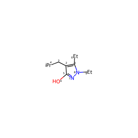 CCc1c(CC(C)C)c(O)nn1CC